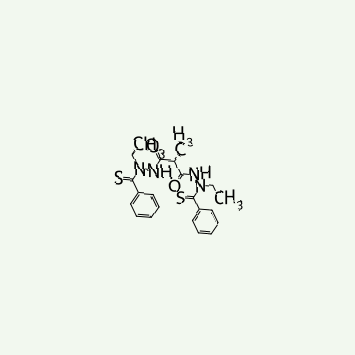 CCN(NC(=O)C(C)C(=O)NN(CC)C(=S)c1ccccc1)C(=S)c1ccccc1